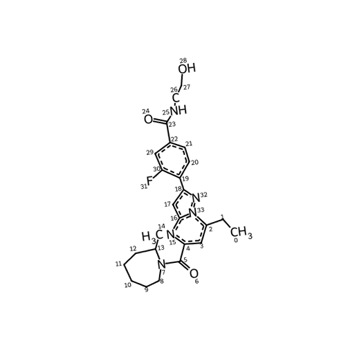 CCc1cc(C(=O)N2CCCCCC2C)nc2cc(-c3ccc(C(=O)NCCO)cc3F)nn12